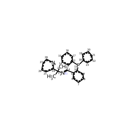 CC(C)(/N=C/c1ccccc1P(c1ccccc1)c1ccccc1)c1ccccn1